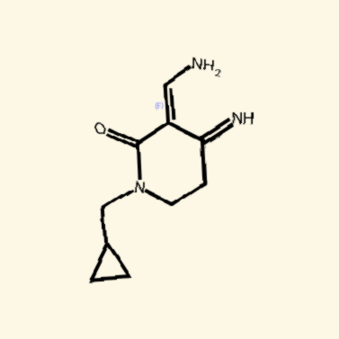 N=C1CCN(CC2CC2)C(=O)/C1=C/N